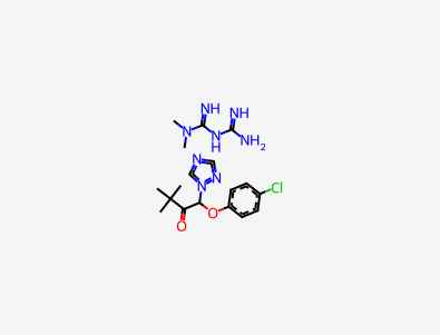 CC(C)(C)C(=O)C(Oc1ccc(Cl)cc1)n1cncn1.CN(C)C(=N)NC(=N)N